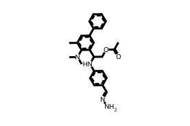 CC(=O)OCC(Nc1ccc(C=NN)cc1)c1cc(-c2ccccc2)cc(C)c1N(C)C